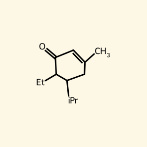 CCC1C(=O)C=C(C)CC1C(C)C